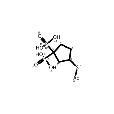 CC(=O)SC1CCC(P(=O)(O)O)(P(=O)(O)O)C1